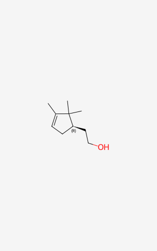 CC1=CC[C@H](CCO)C1(C)C